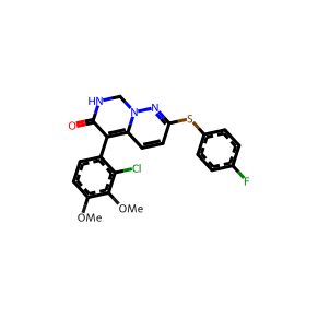 COc1ccc(C2=C3C=CC(Sc4ccc(F)cc4)=NN3CNC2=O)c(Cl)c1OC